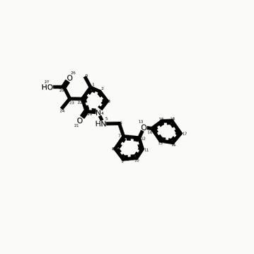 Cc1ccn(NCc2ccccc2Oc2ccccc2)c(=O)c1C(C)C(=O)O